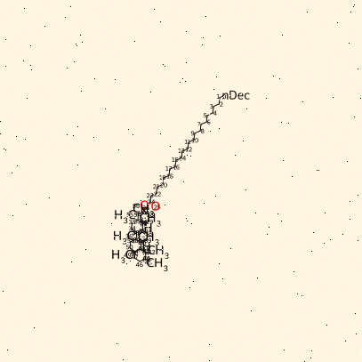 CCCCCCCCCCCCCCCCCCCCCCCCCCCCCCCCCC(=O)O[C@H]1CC[C@@]2(C)C(CC[C@]3(C)[C@@H]2CC=C2[C@H]4[C@@H](C)[C@H](C)CC[C@]4(C)CC[C@]23C)C1(C)C